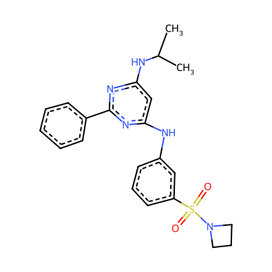 CC(C)Nc1cc(Nc2cccc(S(=O)(=O)N3CCC3)c2)nc(-c2ccccc2)n1